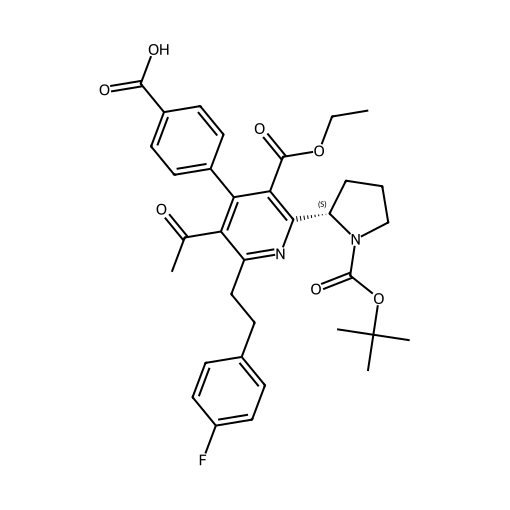 CCOC(=O)c1c([C@@H]2CCCN2C(=O)OC(C)(C)C)nc(CCc2ccc(F)cc2)c(C(C)=O)c1-c1ccc(C(=O)O)cc1